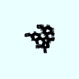 Cc1cc(Cl)ccc1C1c2c(n[nH]c2C(C)C)C(=O)N1c1cc(Cl)ccc1C